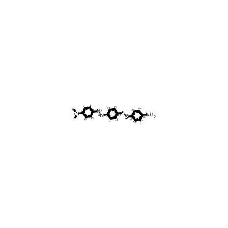 CN(C)c1ccc(N=Nc2ccc(SSc3ccc(N)cc3)cc2)cc1